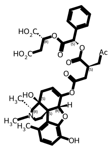 CC(=O)C[C@@H](CC(=O)OC1=CC[C@@]2(O)[C@@H](C)N(C)CC[C@@]23c2c(C)ccc(O)c2O[C@@H]13)C(=O)O[C@H](C(=O)O[C@H](CC(=O)O)C(=O)O)c1ccccc1